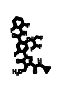 CCn1c(C(=O)NC2CC2)nn(-c2cc(O[C@@H](CF)C(F)F)c(C(=O)Nc3c(F)cccc3F)cc2F)c1=O